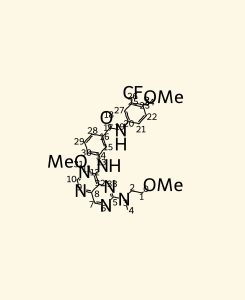 COCCN(C)c1ncc2ncnc(Nc3cc(C(=O)Nc4ccc(OC)c(C(F)(F)F)c4)ccc3OC)c2n1